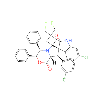 O=C1O[C@@H](c2ccccc2)[C@@H](c2ccccc2)N2[C@@H]1[C@H](c1cccc(Cl)c1)[C@@]1(C(=O)Nc3cc(Cl)ccc31)C21CC(CF)(CF)C1